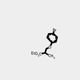 CCOC(=O)C(C)COc1ccc(Br)cc1